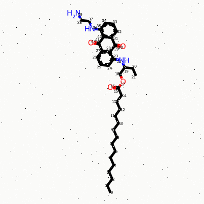 CCCCCCCCCCCCCCCC(=O)OCC(CC)Nc1cccc2c1C(=O)c1cccc(NCCN)c1C2=O